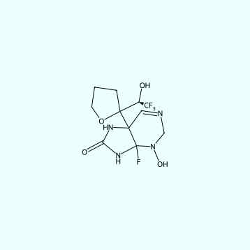 O=C1NC2(F)N(O)CN=CC2(C2([C@@H](O)C(F)(F)F)CCCO2)N1